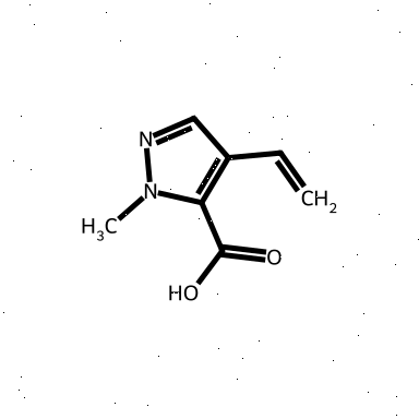 C=Cc1cnn(C)c1C(=O)O